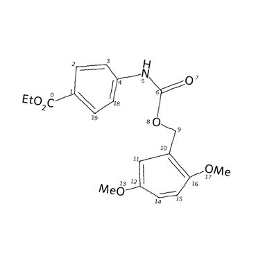 CCOC(=O)c1ccc(NC(=O)OCc2cc(OC)ccc2OC)cc1